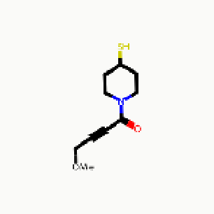 COCC#CC(=O)N1CCC(S)CC1